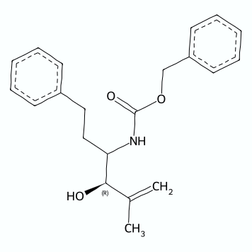 C=C(C)[C@@H](O)C(CCc1ccccc1)NC(=O)OCc1ccccc1